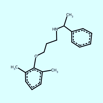 Cc1cccc(C)c1OCCCNC(C)c1ccccc1